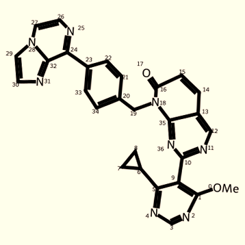 COc1ncnc(C2CC2)c1-c1ncc2ccc(=O)n(Cc3ccc(-c4nccn5ccnc45)cc3)c2n1